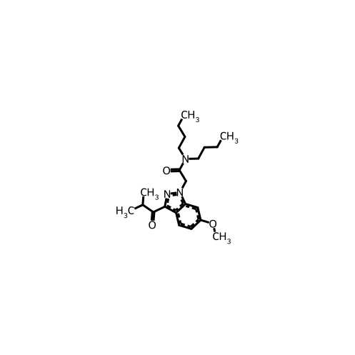 CCCCN(CCCC)C(=O)Cn1nc(C(=O)C(C)C)c2ccc(OC)cc21